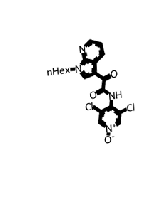 CCCCCCn1cc(C(=O)C(=O)Nc2c(Cl)c[n+]([O-])cc2Cl)c2cccnc21